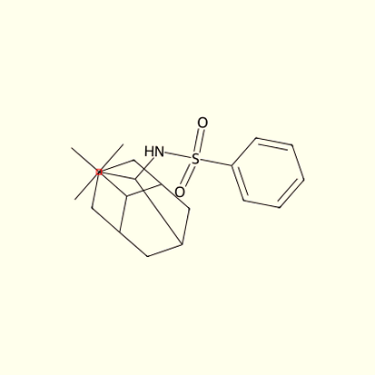 CC(C)(C)C1C2CC3CC1CC(C2)C3NS(=O)(=O)c1ccccc1